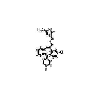 Cc1cn(CCCC2=Cc3cccnc3C(C3CCNCC3)c3ccc(Cl)cc32)cn1